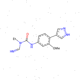 CCN(C=N)C(=O)Nc1ccc(-c2cn[nH]c2)c(OC)c1